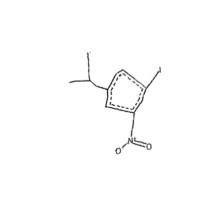 [CH2]C(C)c1cc(I)cc([N+](=O)[O-])c1